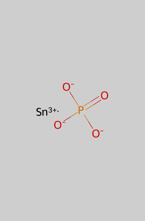 O=P([O-])([O-])[O-].[Sn+3]